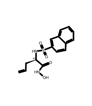 C=CC[C@@H](NS(=O)(=O)c1ccc2ccccc2c1)C(=O)NO